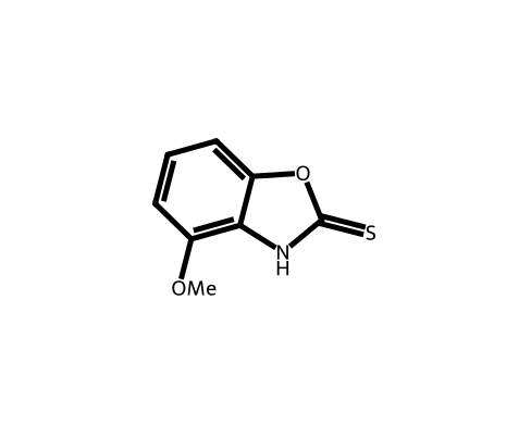 COc1cccc2oc(=S)[nH]c12